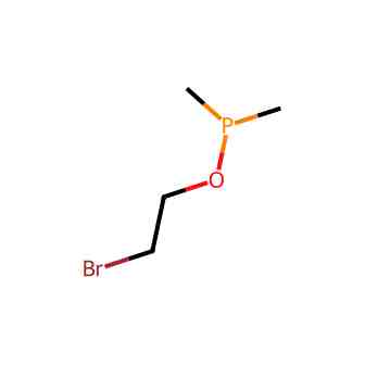 CP(C)OCCBr